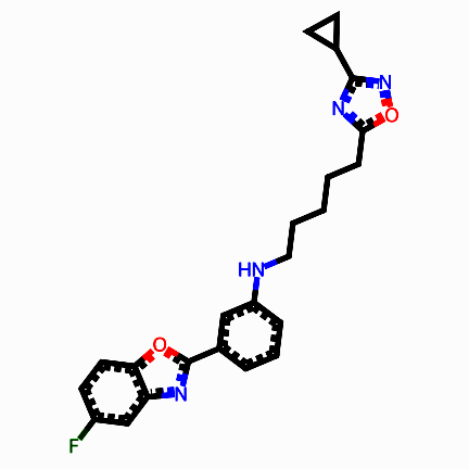 Fc1ccc2oc(-c3cccc(NCCCCCc4nc(C5CC5)no4)c3)nc2c1